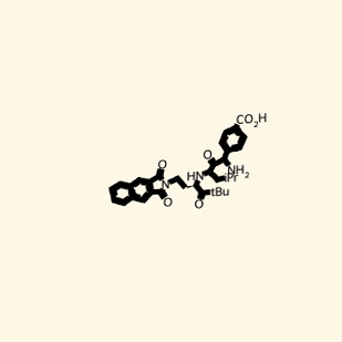 CC(C)CC(N[C@@H](CCN1C(=O)c2cc3ccccc3cc2C1=O)C(=O)C(C)(C)C)C(=O)C(N)c1ccc(C(=O)O)cc1